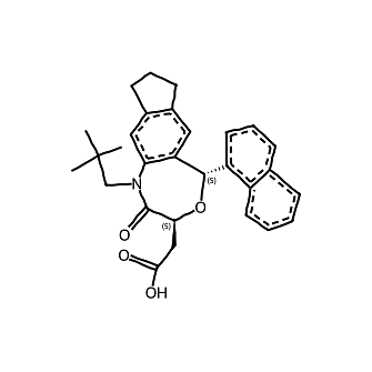 CC(C)(C)CN1C(=O)[C@H](CC(=O)O)O[C@@H](c2cccc3ccccc23)c2cc3c(cc21)CCC3